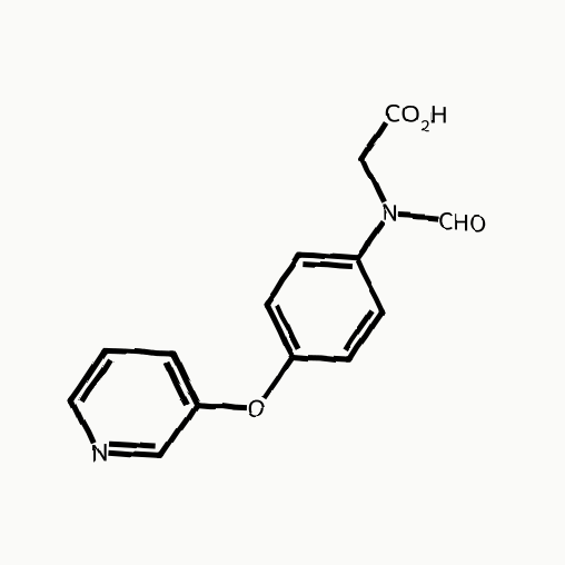 O=CN(CC(=O)O)c1ccc(Oc2cccnc2)cc1